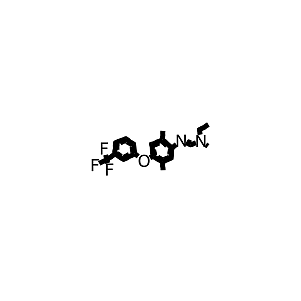 CCN(C)C=Nc1cc(C)c(Oc2cccc(C(F)(F)F)c2)cc1C